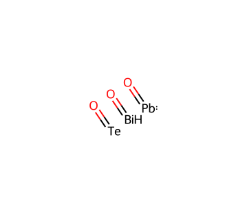 O=[Te].[O]=[BiH].[O]=[Pb]